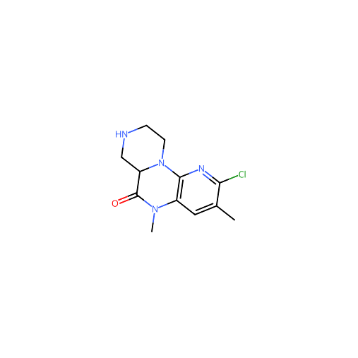 Cc1cc2c(nc1Cl)N1CCNCC1C(=O)N2C